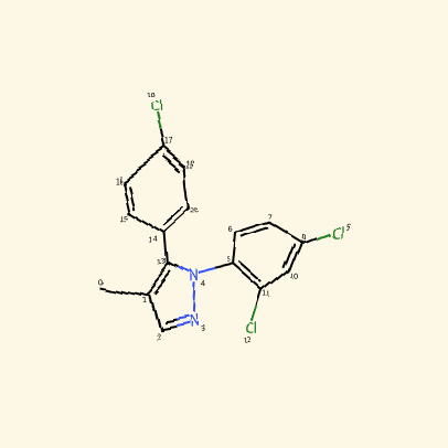 Cc1cnn(-c2ccc(Cl)cc2Cl)c1-c1ccc(Cl)cc1